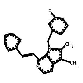 Cc1c(C)n(Cc2cccc(F)c2)c2c(C=Cc3ccccc3)nccc12